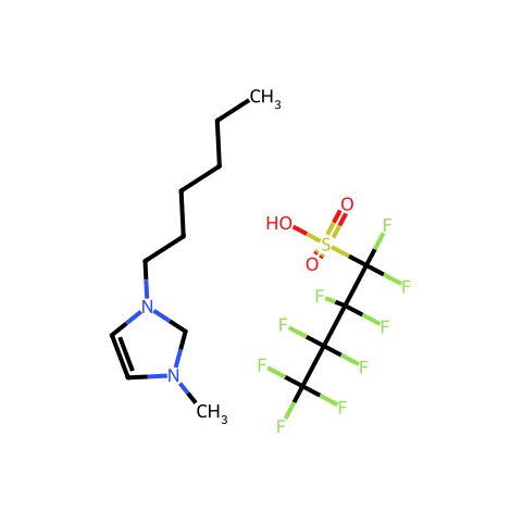 CCCCCCN1C=CN(C)C1.O=S(=O)(O)C(F)(F)C(F)(F)C(F)(F)C(F)(F)F